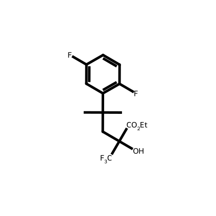 CCOC(=O)C(O)(CC(C)(C)c1cc(F)ccc1F)C(F)(F)F